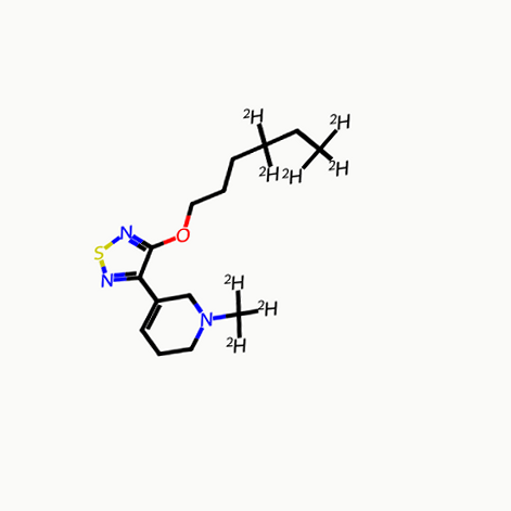 [2H]C([2H])([2H])CC([2H])([2H])CCCOc1nsnc1C1=CCCN(C([2H])([2H])[2H])C1